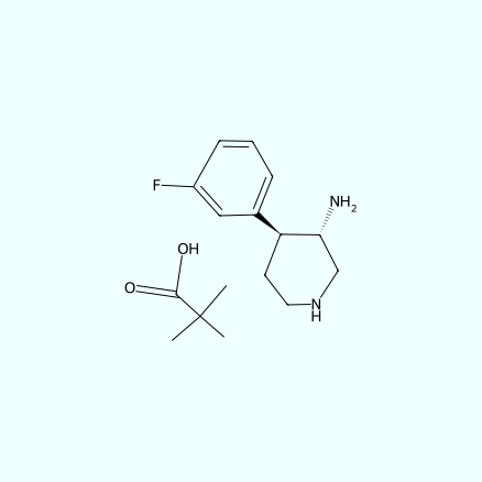 CC(C)(C)C(=O)O.N[C@@H]1CNCC[C@H]1c1cccc(F)c1